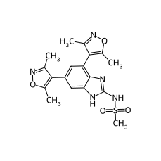 Cc1noc(C)c1-c1cc(-c2c(C)noc2C)c2nc(NS(C)(=O)=O)[nH]c2c1